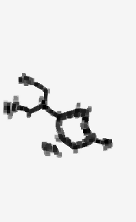 B.CCN(CC)c1ccc(P)cc1